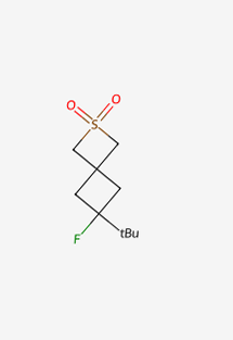 CC(C)(C)C1(F)CC2(C1)CS(=O)(=O)C2